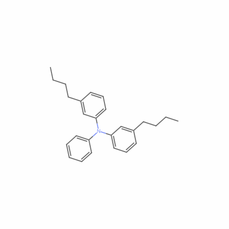 CCCCc1cccc(N(c2ccccc2)c2cccc(CCCC)c2)c1